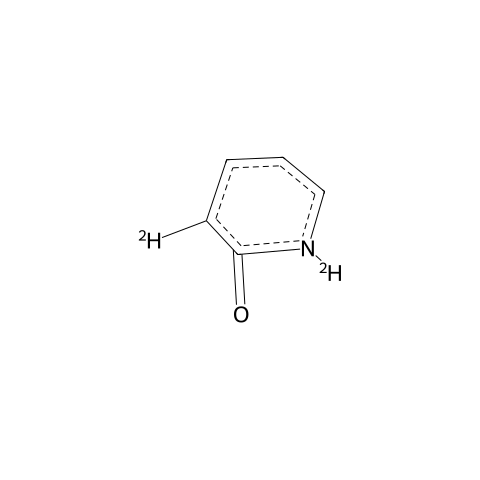 [2H]c1cccn([2H])c1=O